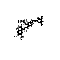 COc1ccc2ncc(Cl)c(C(=O)CCC3CCN(CC#Cc4cc(F)cc(F)c4)CC3CC(=O)O)c2c1